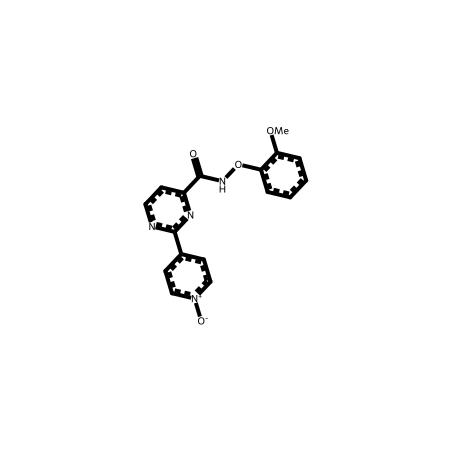 COc1ccccc1ONC(=O)c1ccnc(-c2cc[n+]([O-])cc2)n1